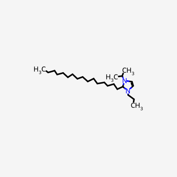 CCCCCCCCCCCCCCCCC1N(CCC)C=CN1C(C)C